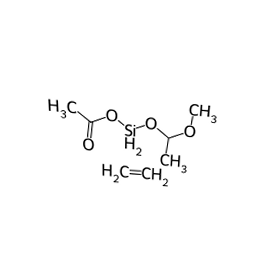 C=C.COC(C)O[SiH2]OC(C)=O